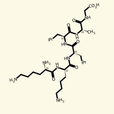 CC(C)C[C@H](NC(=O)[C@H](CC(C)C)NC(=O)[C@H](CCCCN)NC(=O)[C@@H](N)CCCCN)C(=O)N[C@@H](C)C(=O)NCC(=O)O